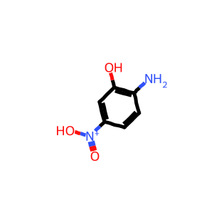 Nc1ccc([N+](=O)O)cc1O